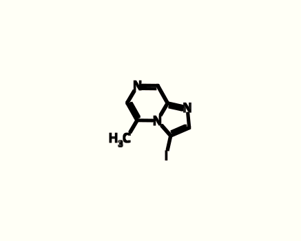 Cc1cncc2ncc(I)n12